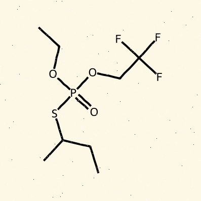 CCOP(=O)(OCC(F)(F)F)SC(C)CC